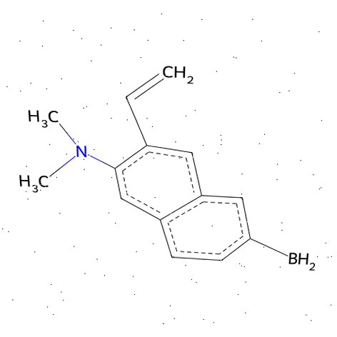 Bc1ccc2cc(N(C)C)c(C=C)cc2c1